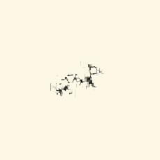 CC1(NC(=O)c2cc(NC(=O)[C@H]3[C@H](c4cc(Cl)cc(Cl)c4)C3(Cl)Cl)ccc2Cl)CC1